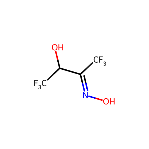 ON=C(C(O)C(F)(F)F)C(F)(F)F